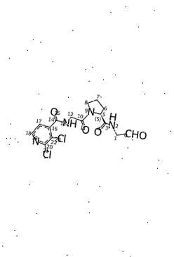 O=CCNC(=O)[C@@H]1CCCN1C(=O)CNC(=O)c1ccnc(Cl)c1Cl